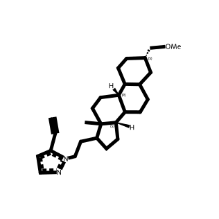 C#Cc1ccnn1CCC1CC[C@H]2C3CCC4C[C@@H](COC)CCC4[C@H]3CCC12C